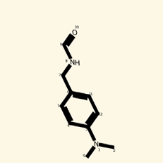 CN(C)c1ccc(CNC=O)cc1